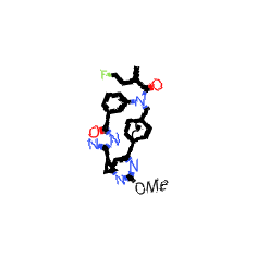 C=C(CCF)C(=O)N(CC12CCC(c3ccnc(OC)n3)(CC1)CC2)c1cccc(-c2nc(C3CC3)no2)c1